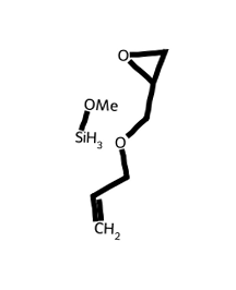 C=CCOCC1CO1.CO[SiH3]